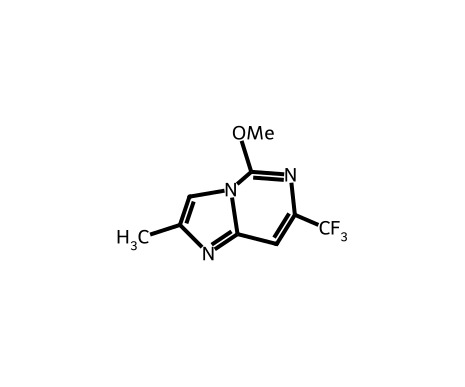 COc1nc(C(F)(F)F)cc2nc(C)cn12